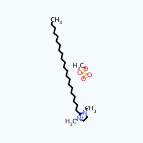 CCCCCCCCCCCCCCCCCCCCCCC1=[N+](C)CCN1C.COS(=O)(=O)[O-]